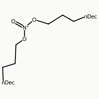 CCCCCCCCCCCCCO[N+](=O)OCCCCCCCCCCCCC